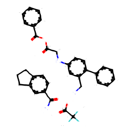 NC(=O)c1ccc2c(c1)CCC2.NCc1cc(NCC(=O)OC(=O)c2ccccc2)ccc1-c1ccccc1.O=C(O)C(F)(F)F